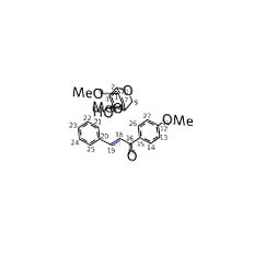 COc1c2cc(O)c(c1OC)CO2.COc1ccc(C(=O)/C=C/c2ccccc2)cc1